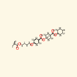 C=C(C)C(=O)OCCCCOc1ccc(C(=O)OC2CCC(C(=O)OC3CCCCC3)CC2)cc1